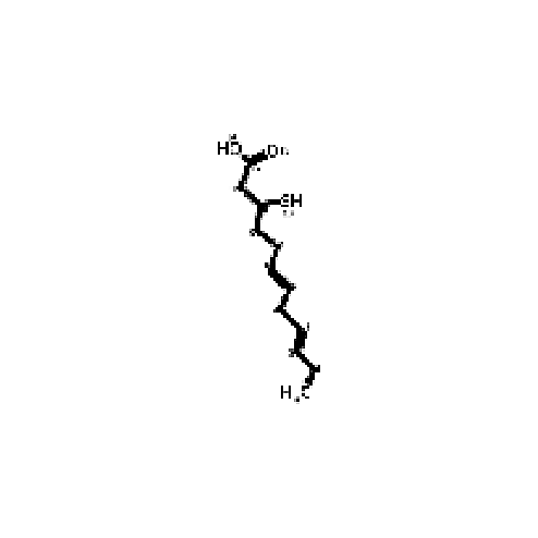 CC/C=C/C/C=C/CCC(S)CC(=O)O